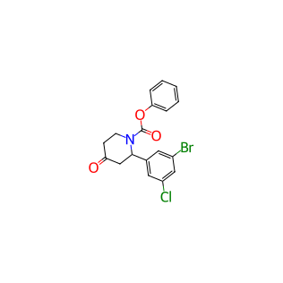 O=C1CCN(C(=O)Oc2ccccc2)C(c2cc(Cl)cc(Br)c2)C1